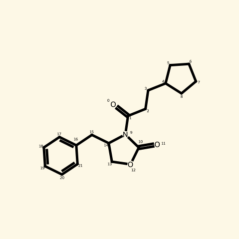 O=C(CCC1CCCC1)N1C(=O)OCC1Cc1ccccc1